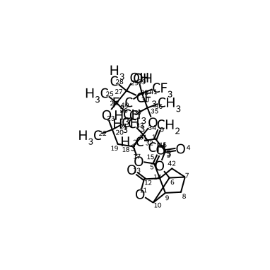 C=C(C)C(=O)OC1C2CC3C1OC(=O)C3(C(=O)OC(CC(C)(C)OC(C)(C)C(C)(O)C(F)(F)F)C(C)(C)OC(C)(C)C(O)(C(F)(F)F)C(F)(F)F)C2